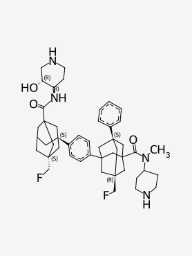 CN(C(=O)C12CC3(c4ccc([C@]56CC7CC(C(=O)N[C@@H]8CCNC[C@H]8O)(C[C@](CF)(C7)C5)C6)cc4)C[C@@](CF)(C1)C[C@@](c1ccccc1)(C2)C3)C1CCNCC1